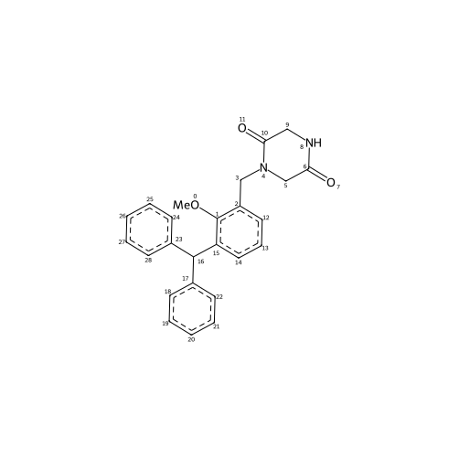 COc1c(CN2CC(=O)NCC2=O)cccc1C(c1ccccc1)c1ccccc1